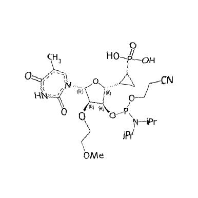 COCCO[C@@H]1[C@H](OP(OCCC#N)N(C(C)C)C(C)C)[C@@H](C2CC2P(=O)(O)O)O[C@H]1n1cc(C)c(=O)[nH]c1=O